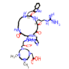 CN1CCN(C)CCN(CC(=O)CNC2CC(=O)NCCCCCN[C@@H](Cc3c[nH]c4ccccc34)C(=O)N[C@@H](CCCNC(=N)N)C(=O)CC(=O)[C@H](Cc3cnc[nH]3)N2)CCN(CC(=O)O)CC1